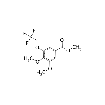 COC(=O)c1cc(OC)c(OC)c(OCC(F)(F)F)c1